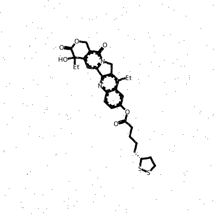 CCc1c2c(nc3ccc(OC(=O)CCCC[C@@H]4CCSS4)cc13)-c1cc3c(c(=O)n1C2)COC(=O)C3(O)CC